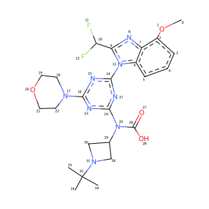 COc1cccc2c1nc(C(F)F)n2-c1nc(N2CCOCC2)nc(N(C(=O)O)C2CN(C(C)(C)C)C2)n1